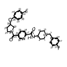 O=C(NC1CCN(Cc2ccc(F)cc2)CC1)c1ccc(C(=O)N2CCC(Oc3ccc(F)cc3)C2)cn1